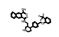 O=C(O)c1cc2ccccc2cc1C(=O)NCC1CNCCC1c1ccc(COc2ccccc2C(F)(F)F)cc1